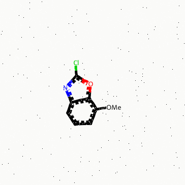 COc1cccc2nc(Cl)oc12